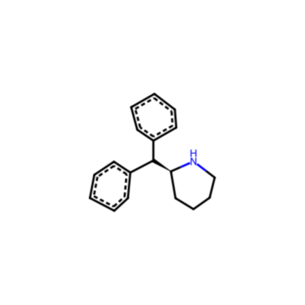 c1ccc(C(c2ccccc2)[C@@H]2CCCCN2)cc1